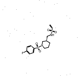 C=CS(=O)(=O)NC[C@H]1CCCN(S(=O)(=O)c2ccc(F)cc2)C1